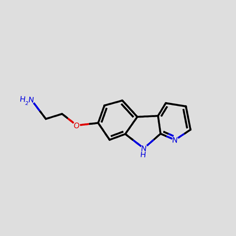 NCCOc1ccc2c(c1)[nH]c1ncccc12